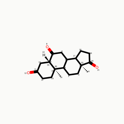 C[C@]12CCC3C(CC(=O)[C@H]4CC(=O)CC[C@]34C)C1CCC2=O